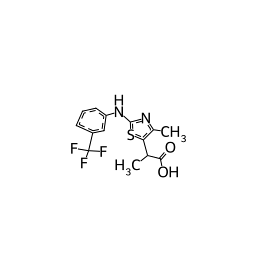 Cc1nc(Nc2cccc(C(F)(F)F)c2)sc1C(C)C(=O)O